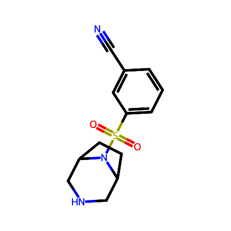 N#Cc1cccc(S(=O)(=O)N2C3CCC2CNC3)c1